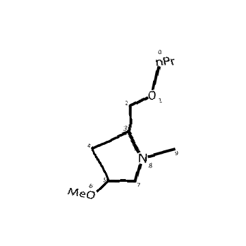 CCCOCC1CC(OC)CN1C